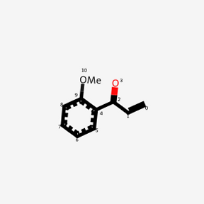 C=CC(=O)c1ccccc1OC